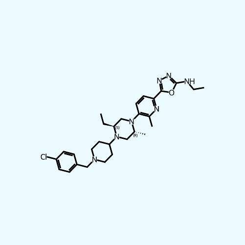 CCNc1nnc(-c2ccc(N3C[C@H](CC)N(C4CCN(Cc5ccc(Cl)cc5)CC4)C[C@H]3C)c(C)n2)o1